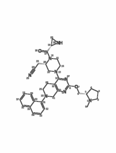 CN1CCC[C@H]1COc1nc2c(c(N3CCN(C(=O)[C@@H]4CN4)[C@@H](CC#N)C3)n1)CCN(c1cccc3ccccc13)C2